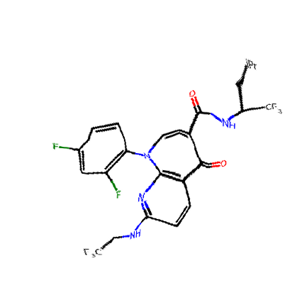 CC(C)CC(NC(=O)c1cn(-c2ccc(F)cc2F)c2nc(NCC(F)(F)F)ccc2c1=O)C(F)(F)F